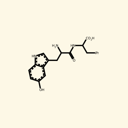 CC(C)CC(NC(=O)C(N)Cc1c[nH]c2ccc(O)cc12)C(=O)O